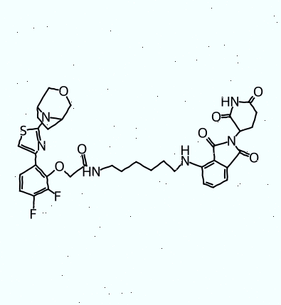 O=C(COc1c(-c2csc(N3C4CCC3COC4)n2)ccc(F)c1F)NCCCCCCNc1cccc2c1C(=O)N(C1CCC(=O)NC1=O)C2=O